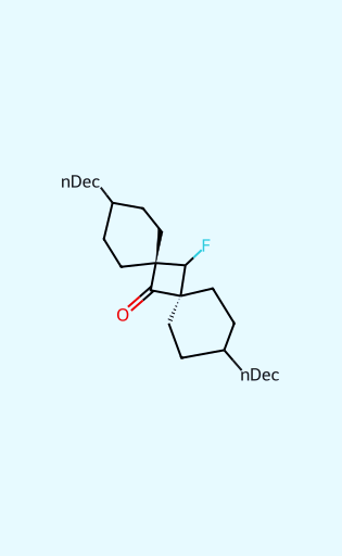 CCCCCCCCCCC1CC[C@]2(CC1)C(=O)[C@@]1(CCC(CCCCCCCCCC)CC1)C2F